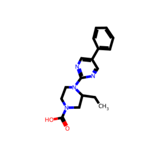 CCC1CN(C(=O)O)CCN1c1ncc(-c2ccccc2)cn1